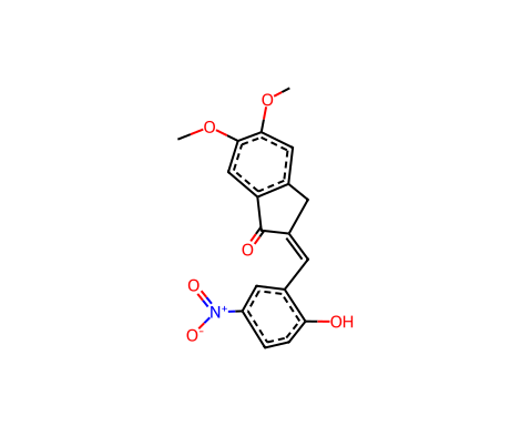 COc1cc2c(cc1OC)C(=O)C(=Cc1cc([N+](=O)[O-])ccc1O)C2